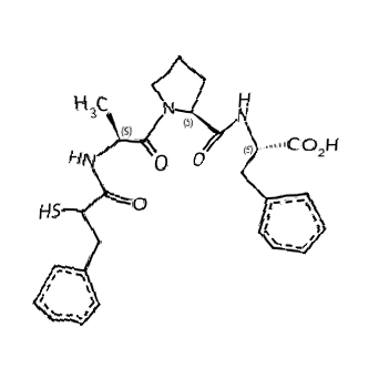 C[C@H](NC(=O)C(S)Cc1ccccc1)C(=O)N1CCC[C@H]1C(=O)N[C@@H](Cc1ccccc1)C(=O)O